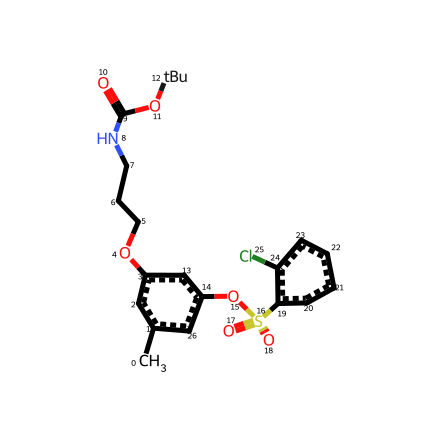 Cc1cc(OCCCNC(=O)OC(C)(C)C)cc(OS(=O)(=O)c2ccccc2Cl)c1